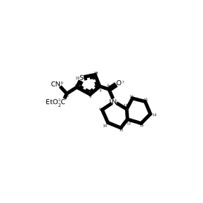 [C-]#[N+]C(C(=O)OCC)c1cc(C(=O)N2CCCC3CCCCC32)cs1